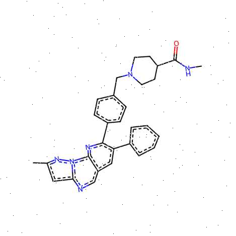 CNC(=O)C1CCN(Cc2ccc(-c3nc4c(cnc5cc(C)nn54)cc3-c3ccccc3)cc2)CC1